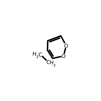 C1=COOC=C1.CC